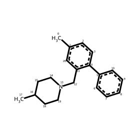 Cc1ccc(-c2ccccc2)c(CN2CCC(C)CC2)c1